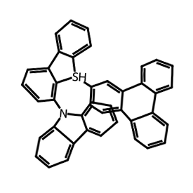 c1ccc2c(c1)-c1cccc(-n3c4ccccc4c4ccccc43)c1[SH]2c1ccc2c3ccccc3c3ccccc3c2c1